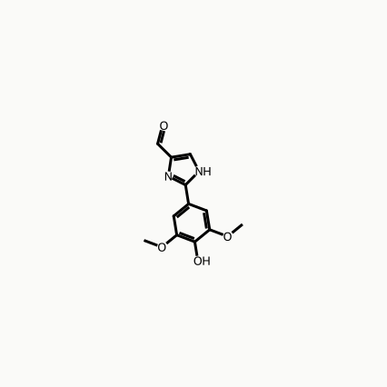 COc1cc(-c2nc(C=O)c[nH]2)cc(OC)c1O